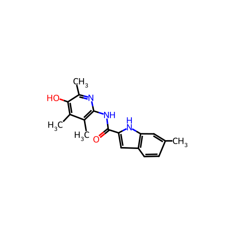 Cc1ccc2cc(C(=O)Nc3nc(C)c(O)c(C)c3C)[nH]c2c1